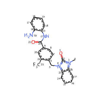 Cn1c(=O)n(Cc2ccc(C(=O)Nc3ccccc3N)cc2C(F)(F)F)c2ccccc21